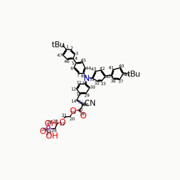 CC(C)(C)c1ccc(-c2ccc(N(c3ccc(/C=C(\C#N)C(=O)OCCOCCP(=O)(O)O)cc3)c3ccc(-c4ccc(C(C)(C)C)cc4)cc3)cc2)cc1